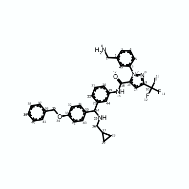 NCc1cccc(-n2nc(C(F)(F)F)cc2C(=O)Nc2cccc(C(NCC3CC3)c3ccc(OCc4ccccc4)cc3)c2)c1